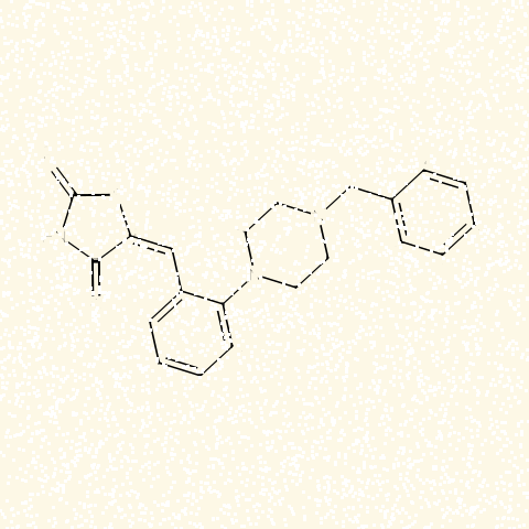 O=C1NC(=S)SC1=Cc1ccccc1N1CCN(Cc2ccccc2)CC1